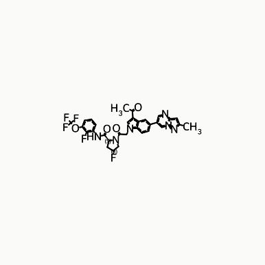 CC(=O)c1cn(CC(=O)N2C[C@H](F)C[C@H]2C(=O)Nc2cccc(OC(F)(F)F)c2F)c2ccc(-c3cnc4cc(C)nn4c3)cc12